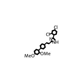 COc1ccc(-c2ccc(C=Cc3nc(-c4ccc(Cl)cc4Cl)c[nH]3)cc2)c(OC)c1